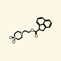 O=C(OCCN1CCS(=O)(=O)CC1)C1Cc2cccc3cccc1c23